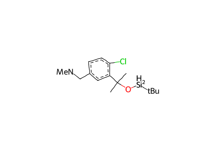 CNCc1ccc(Cl)c(C(C)(C)O[SiH2]C(C)(C)C)c1